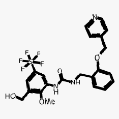 COc1c(CO)cc(S(F)(F)(F)(F)F)cc1NC(=O)NCc1ccccc1OCc1ccncc1